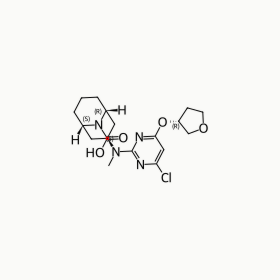 CN(c1nc(Cl)cc(O[C@@H]2CCOC2)n1)[C@@H]1C[C@H]2CCC[C@@H](C1)N2C(=O)O